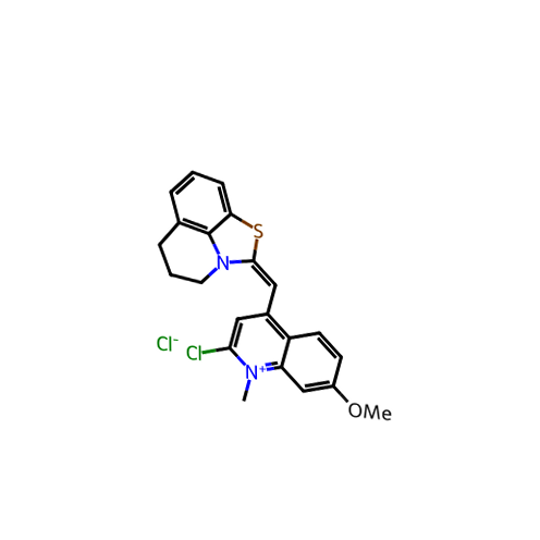 COc1ccc2c(C=C3Sc4cccc5c4N3CCC5)cc(Cl)[n+](C)c2c1.[Cl-]